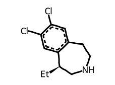 CC[C@@H]1CNCCc2cc(Cl)c(Cl)cc21